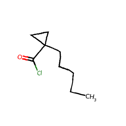 CCCCCC1(C(=O)Cl)CC1